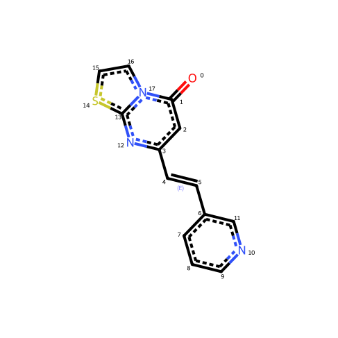 O=c1cc(/C=C/c2cccnc2)nc2sccn12